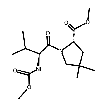 COC(=O)N[C@H](C(=O)N1CC(C)(C)C[C@H]1C(=O)OC)C(C)C